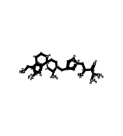 C[C@H]1C[C@@]2(CCN1Cc1cnn(CC(O)C(=O)N(C)C)c1)OCCc1c2sc(C(F)(F)F)c1CO